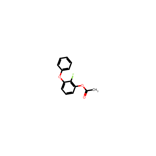 CC(=O)Oc1cccc(Oc2ccccc2)c1F